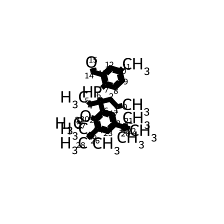 CCCC(CC)(Pc1ccc(C)cc1C=O)c1cc(C(C)(C)C)cc(C(C)(C)C)c1OC